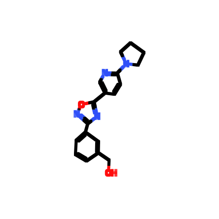 OCc1cccc(-c2noc(-c3ccc(N4CCCC4)nc3)n2)c1